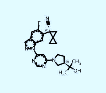 CC(C)(O)[C@@H]1CCN(c2cc(-n3ncc4cc(F)c([C@@]5(C#N)CC56CC6)cc43)ncn2)C1